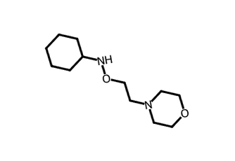 C1CCC(NOCCN2CCOCC2)CC1